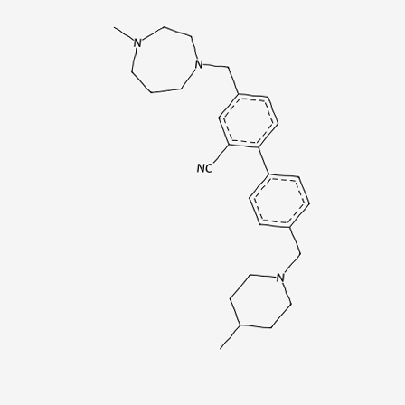 CC1CCN(Cc2ccc(-c3ccc(CN4CCCN(C)CC4)cc3C#N)cc2)CC1